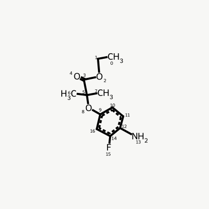 CCOC(=O)C(C)(C)Oc1ccc(N)c(F)c1